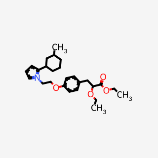 CCOC(=O)C(Cc1ccc(OCCn2cccc2C2CCCC(C)C2)cc1)OCC